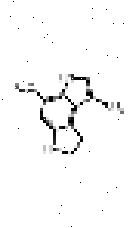 CC(=O)Oc1cc2c(c3c(C)c[nH]c13)CCN2